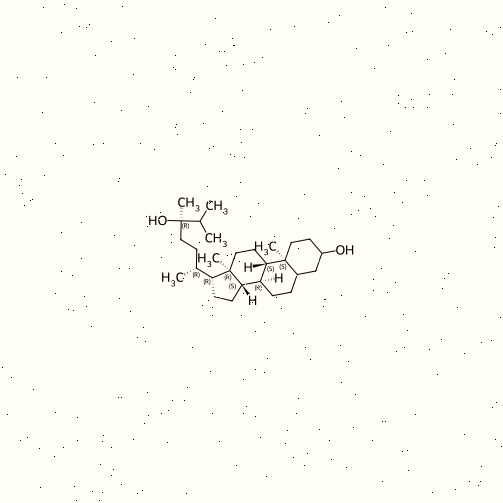 CC(C)[C@](C)(O)CC[C@@H](C)[C@H]1CC[C@H]2[C@@H]3CCC4CC(O)CC[C@]4(C)[C@H]3CC[C@]12C